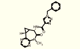 CN1C(=O)[C@@H](NC(=O)c2cn(Cc3ccccc3)nn2)C2C[C@H]2c2nccnc21